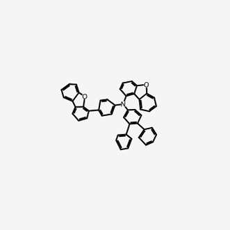 c1ccc(-c2ccc(N(c3ccc(-c4cccc5c4oc4ccccc45)cc3)c3cccc4oc5ccccc5c34)cc2-c2ccccc2)cc1